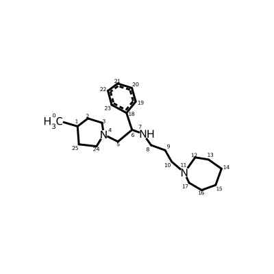 CC1CCN(CC(NCCCN2CCCCCC2)c2ccccc2)CC1